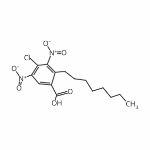 CCCCCCCCc1c(C(=O)O)cc([N+](=O)[O-])c(Cl)c1[N+](=O)[O-]